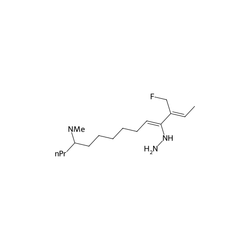 C/C=C(CF)/C(=C/CCCCCC(CCC)NC)NN